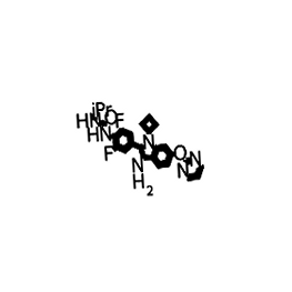 CC(C)NC(=O)Nc1c(F)cc(C2C(N)c3ccc(Oc4ncccn4)cc3N2C2CCC2)cc1F